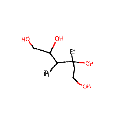 CCC(O)(CO)C(C(C)C)C(O)CO